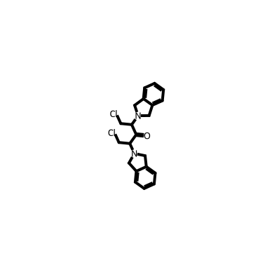 O=C(C(CCl)N1Cc2ccccc2C1)C(CCl)N1Cc2ccccc2C1